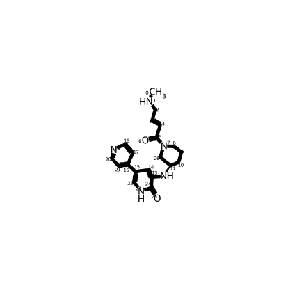 CNC/C=C/C(=O)N1CCC[C@@H](Nc2cc(-c3ccncc3)c[nH]c2=O)C1